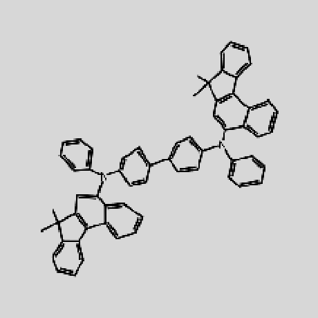 CC1(C)c2ccccc2-c2c1cc(N(c1ccccc1)c1ccc(-c3ccc(N(c4ccccc4)c4cc5c(c6ccccc46)-c4ccccc4C5(C)C)cc3)cc1)c1ccccc21